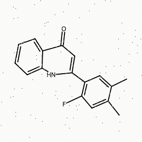 Cc1cc(F)c(-c2cc(=O)c3ccccc3[nH]2)cc1C